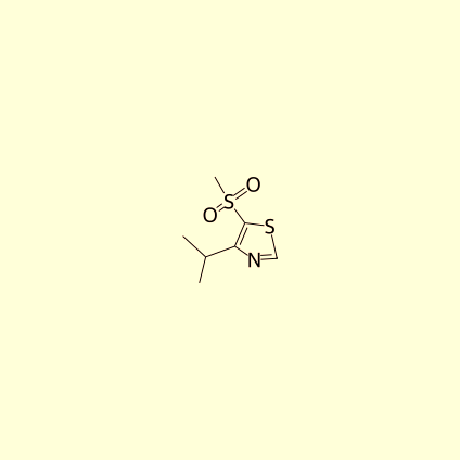 CC(C)c1ncsc1S(C)(=O)=O